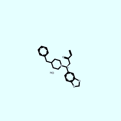 C=CC(=O)C[C@@H](c1ccc2c(c1)OCO2)N1CCC(Cc2ccccc2)CC1.Cl